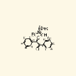 CCCCCCCCCCN(C)CC.O=C(C(=O)c1ccccc1)c1ccccc1